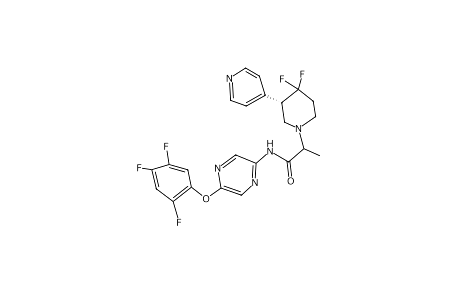 CC(C(=O)Nc1cnc(Oc2cc(F)c(F)cc2F)cn1)N1CCC(F)(F)[C@@H](c2ccncc2)C1